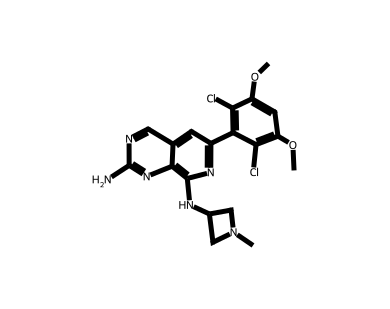 COc1cc(OC)c(Cl)c(-c2cc3cnc(N)nc3c(NC3CN(C)C3)n2)c1Cl